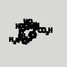 CC(C)c1cc(-n2nnc(C(=O)O)c2-c2ccc(CN3CCC(N(C)C)C3)cc2)c(O)cc1O